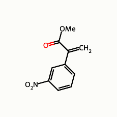 C=C(C(=O)OC)c1cccc([N+](=O)[O-])c1